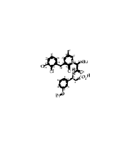 CCCCC(C(=O)N[C@@H](CC(=O)O)c1cccc(OC(C)C)c1)n1cc(C)cc(Cc2cccc(Cl)c2Cl)c1=O